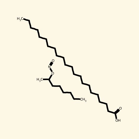 CCCCCCC(C)ON=O.CCCCCCCCCCCCCCCCCCCCCC(=O)O